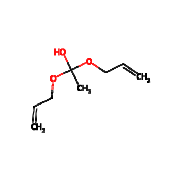 C=CCOC(C)(O)OCC=C